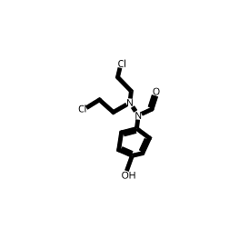 O=CN(c1ccc(O)cc1)N(CCCl)CCCl